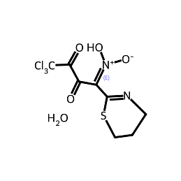 O.O=C(C(=O)C(Cl)(Cl)Cl)/C(C1=NCCCS1)=[N+](/[O-])O